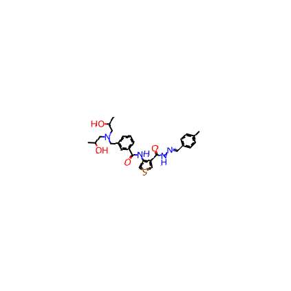 Cc1ccc(/C=N/NC(=O)c2cscc2NC(=O)c2cccc(CN(CC(C)O)CC(C)O)c2)cc1